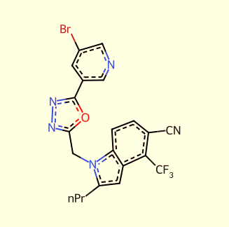 CCCc1cc2c(C(F)(F)F)c(C#N)ccc2n1Cc1nnc(-c2cncc(Br)c2)o1